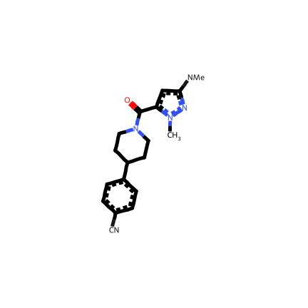 CNc1cc(C(=O)N2CCC(c3ccc(C#N)cc3)CC2)n(C)n1